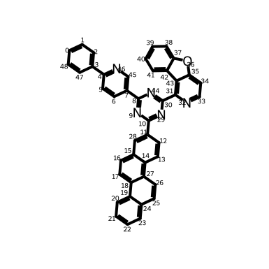 c1ccc(-c2ccc(-c3nc(-c4ccc5c(ccc6c7ccccc7ccc56)c4)nc(-c4nccc5oc6ccccc6c45)n3)cn2)cc1